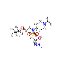 CC(C)N1CCC(N(CCO[Si](C)(C)C(C)(C)C)S(=O)(=O)CC(N)=O)CC1